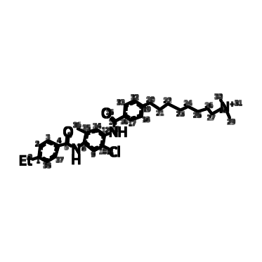 CCc1ccc(C(=O)Nc2cc(Cl)c(NC(=O)c3ccc(CCCCCCCC[N+](C)(C)C)cc3)cc2C)cc1